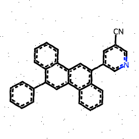 N#Cc1cncc(-c2cc3c4ccccc4c(-c4ccccc4)cc3c3ccccc23)c1